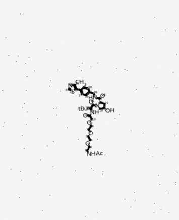 CC(=O)NCCOCCOCCOCC(=O)NC(C(=O)N1C[C@H](O)C[C@H]1C(=O)NCc1ccc(-c2scnc2C)cc1)C(C)(C)C